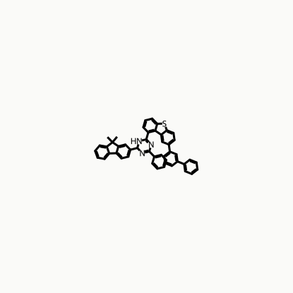 CC1(C)c2ccccc2-c2ccc(C3N=C(c4ccccc4)N=C(c4cccc5sc6ccc(-c7cccc(-c8ccccc8)c7)cc6c45)N3)cc21